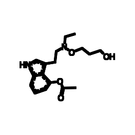 CCN(CCc1c[nH]c2cccc(OC(C)=O)c12)OCCCO